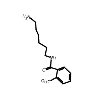 NCCCCCCNC(=O)c1ccccc1C=O